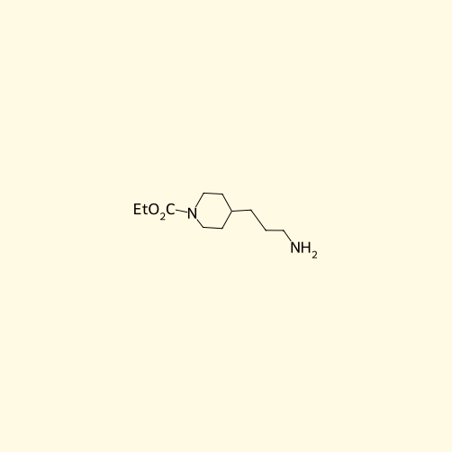 CCOC(=O)N1CCC(CCCN)CC1